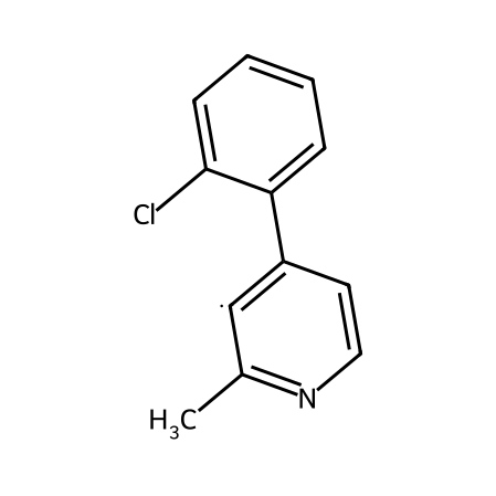 Cc1[c]c(-c2ccccc2Cl)ccn1